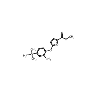 COC(=O)c1ccc(Oc2ccc([Si](C)(C)C)cc2C)o1